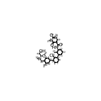 COc1cc(-c2cccc(-c3cccc(NC(=O)c4cn(C)c(=O)n(C)c4=O)c3C)c2Cl)cc(F)c1CN(C)CCO